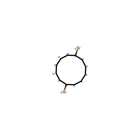 BrC1CCCCCC(Br)CCCCC1